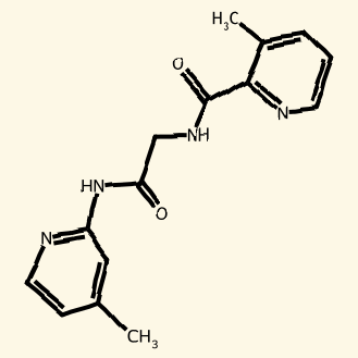 Cc1ccnc(NC(=O)CNC(=O)c2ncccc2C)c1